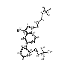 C[Si](C)(C)CCOCn1cc(Br)c2nc(-c3cccnc3OCC(F)(F)F)ncc21